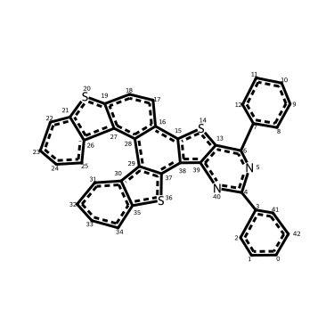 c1ccc(-c2nc(-c3ccccc3)c3sc4c5ccc6sc7ccccc7c6c5c5c6ccccc6sc5c4c3n2)cc1